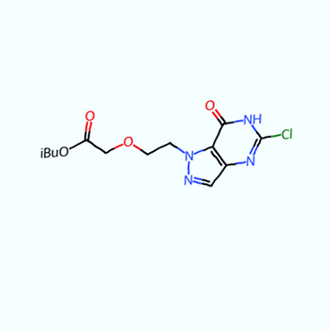 CC(C)COC(=O)COCCn1ncc2nc(Cl)[nH]c(=O)c21